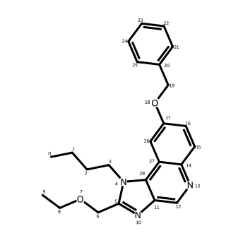 CCCCn1c(COCC)nc2cnc3ccc(OCc4ccccc4)cc3c21